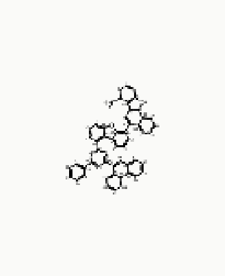 CC1CC=Cc2oc3c(cc(-c4cccc5c4oc4cccc(-c6nc(-c7ccccc7)nc(-c7cc8ccccc8c8ccccc78)n6)c45)c4ccccc43)c21